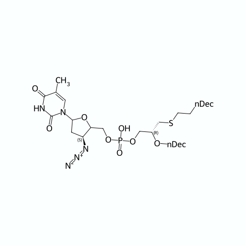 CCCCCCCCCCCCSC[C@@H](COP(=O)(O)OCC1OC(n2cc(C)c(=O)[nH]c2=O)C[C@@H]1N=[N+]=[N-])OCCCCCCCCCC